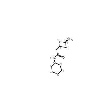 C=C1CC(CC(=O)NC2CCCCC2)O1